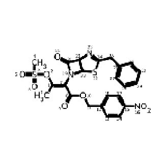 CC(OS(C)(=O)=O)=C(C(=O)OCc1ccc([N+](=O)[O-])cc1)N1C(=O)C2N=C(Cc3ccccc3)SC21